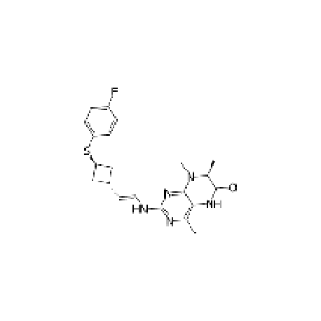 Cc1nc(NC=C[C@H]2C[C@H](Sc3ccc(F)cc3)C2)nc2c1NC(=O)[C@H](C)N2C